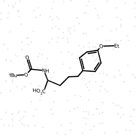 CCOc1ccc(CCCC(NC(=O)OC(C)(C)C)C(=O)O)cc1